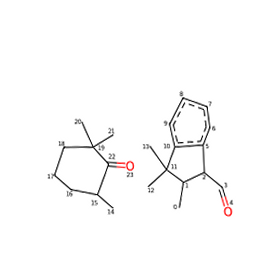 CC1C(C=O)c2ccccc2C1(C)C.CC1CCCC(C)(C)C1=O